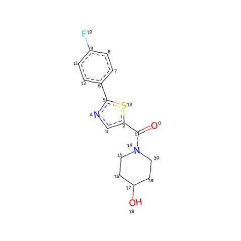 O=C(c1cnc(-c2ccc(F)cc2)s1)N1CCC(O)CC1